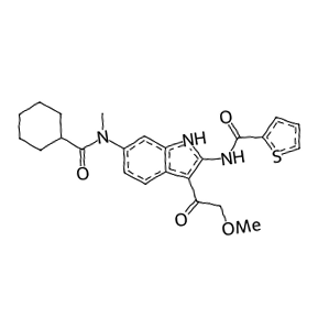 COCC(=O)c1c(NC(=O)c2cccs2)[nH]c2cc(N(C)C(=O)C3CCCCC3)ccc12